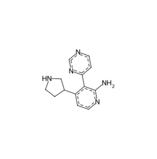 Nc1nccc(C2CCNC2)c1-c1ccncn1